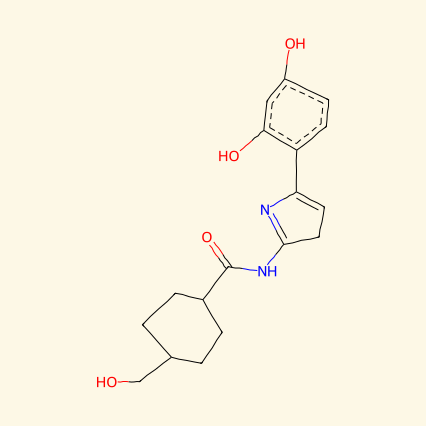 O=C(NC1=NC(c2ccc(O)cc2O)=CC1)C1CCC(CO)CC1